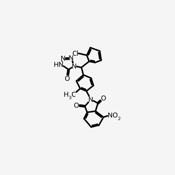 Cc1cc(C(c2ccccc2Cl)n2nn[nH]c2=O)ccc1N1C(=O)c2cccc([N+](=O)[O-])c2C1=O